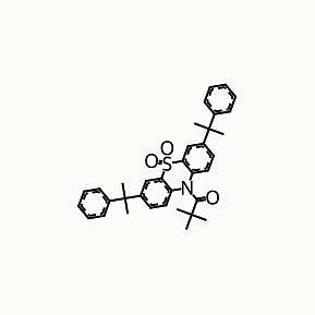 CC(C)(C)C(=O)N1c2ccc(C(C)(C)c3ccccc3)cc2S(=O)(=O)c2cc(C(C)(C)c3ccccc3)ccc21